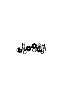 O=C1CCC(c2cccc(-c3ccc(C(=O)Nc4ccon4)cc3)c2Cl)C(O)N1